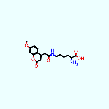 COc1ccc2c(CC(=O)NCCCCC(N)C(=O)O)cc(=O)oc2c1